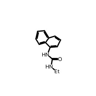 CCNC(=O)Nc1cccc2ccccc12